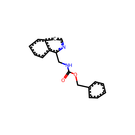 O=C(NCc1nccc2ccccc12)OCc1ccccc1